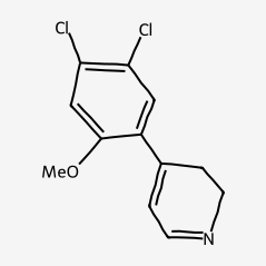 COc1cc(Cl)c(Cl)cc1C1=CC=NCC1